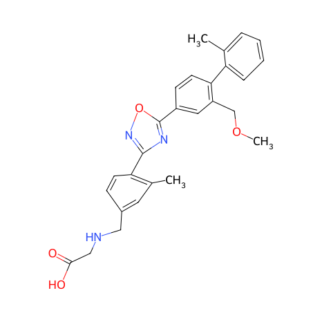 COCc1cc(-c2nc(-c3ccc(CNCC(=O)O)cc3C)no2)ccc1-c1ccccc1C